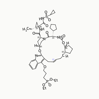 C=C[C@@H]1C[C@]1(NC(=O)[C@@H]1C[C@@H]2CN1C(=O)[C@H](C1CCCC1)NC(=O)O[C@@H]1CCC[C@H]1CC/C=C/Cc1c(nc3ccccc3c1OCCCP(=O)(OCC)OCC)O2)C(=O)NS(=O)(=O)C1CC1